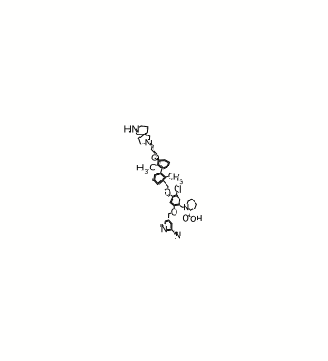 Cc1c(COc2cc(OCc3cncc(C#N)c3)c(CN3CCCC[C@H]3C(=O)O)cc2Cl)cccc1-c1cccc(OCCCN2CCC3(CCCNC3)C2)c1C